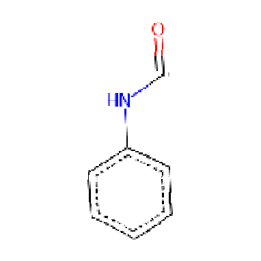 O=[C]Nc1ccccc1